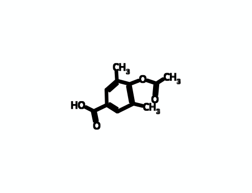 CC(=O)Oc1c(C)cc(C(=O)O)cc1C